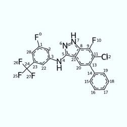 Fc1cc(Nc2n[nH]c3c(F)c(Cl)c(-c4ccccc4)cc23)cc(C(F)(F)F)c1